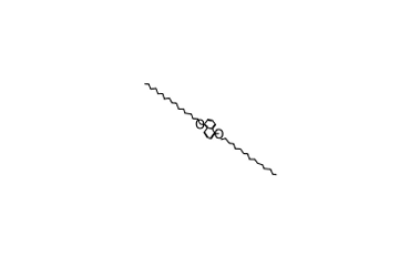 CCCCCCCCCCCCCCCCOc1cccc2c(OCCCCCCCCCCCCCCCC)cccc12